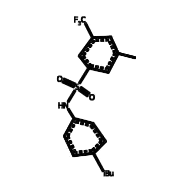 CCC(C)c1ccc(NS(=O)(=O)c2cc(C)cc(C(F)(F)F)c2)cc1